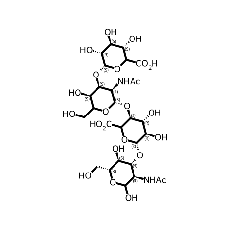 CC(=O)N[C@H]1[C@H](O[C@@H]2C(C(=O)O)O[C@@H](O[C@H]3[C@H](O)[C@@H](CO)OC(O)[C@@H]3NC(C)=O)[C@H](O)[C@H]2O)OC(CO)[C@@H](O)[C@H]1O[C@H]1OC(C(=O)O)[C@@H](O)[C@H](O)[C@H]1O